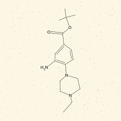 CCN1CCN(c2ccc(C(=O)OC(C)(C)C)cc2N)CC1